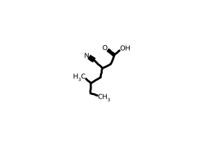 CCC(C)CC(C#N)CC(=O)O